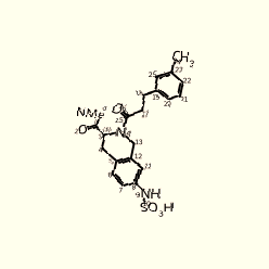 CNC(=O)[C@@H]1Cc2ccc(NS(=O)(=O)O)cc2CN1C(=O)CCc1cccc(C)c1